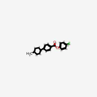 CC1CCC(c2ccc(C(=O)Oc3ccc(F)cc3)cc2)CC1